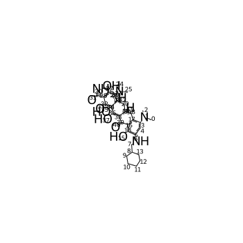 CN(C)c1cc(NCC2CCCCC2)c(O)c2c1C[C@@H]1C[C@@H]3[C@@H](N(C)C)C(O)=C(C(N)=O)C(=O)[C@]3(O)C(O)=C1C2=O